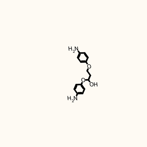 Nc1ccc(OCCC(O)Oc2ccc(N)cc2)cc1